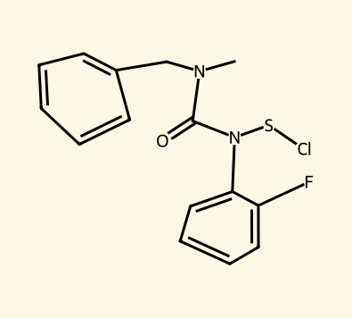 CN(Cc1ccccc1)C(=O)N(SCl)c1ccccc1F